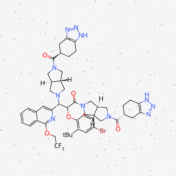 CC(C)(C)c1cc(Br)ccc1OC(C(=O)N1C[C@H]2CN(C(=O)[C@@H]3CCc4[nH]nnc4C3)C[C@@H]2C1)C(c1cc2ccccc2c(OCC(F)(F)F)n1)N1C[C@H]2CN(C(=O)[C@@H]3CCc4[nH]nnc4C3)C[C@@H]2C1